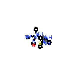 C1=CC(c2n[nH]c3c2sc2ccccc23)(c2n[nH]c3c2sc2ccccc23)CC=C1C(NCc1ccccc1)N(CCCn1ccnc1)CCN1CCOCC1